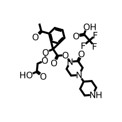 CC(=O)c1cccc2c1C2(OOCC(=O)O)C(=O)ON1CCN(C2CCNCC2)CC1=O.O=C(O)C(F)(F)F